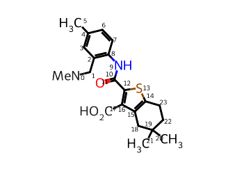 CNCc1cc(C)ccc1NC(=O)c1sc2c(c1C(=O)O)CC(C)(C)CC2